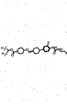 CC(C)OC(=O)N1CCC(ON=C2CCC(c3ccc(NC(=O)NCCF)c(F)c3)CC2)CC1